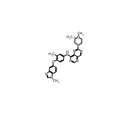 Cc1cc(Nc2ncnc3cnc(N4CCN(C)[C@@H](C)C4)nc23)ccc1Oc1ccc2c(c1)ncn2C